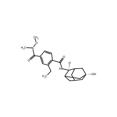 CCc1cc(C(=O)N(C)OC)ccc1C(=O)N[C@H]1C2CC3CC1C[C@](O)(C3)C2